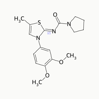 COc1ccc(-n2cc(C)s/c2=N\C(=O)N2CCCC2)cc1OC